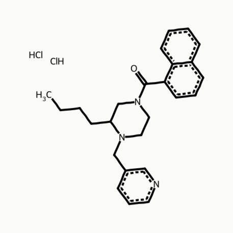 CCCCC1CN(C(=O)c2cccc3ccccc23)CCN1Cc1cccnc1.Cl.Cl